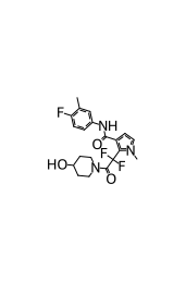 Cc1cc(NC(=O)c2ccn(C)c2C(F)(F)C(=O)N2CCC(O)CC2)ccc1F